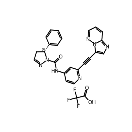 O=C(Nc1ccnc(C#Cc2cnc3cccnn23)c1)N1N=CC[C@@H]1c1ccccc1.O=C(O)C(F)(F)F